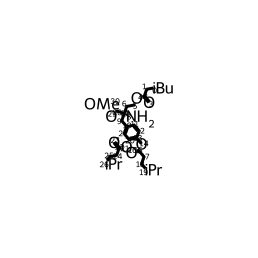 CCC(C)CC(=O)OCC[C@@](N)(Cc1ccc(OC(=O)CCC(C)C)c(OC(=O)CCC(C)C)c1)C(=O)OC